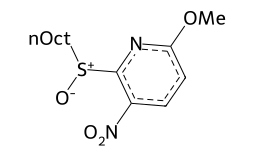 CCCCCCCC[S+]([O-])c1nc(OC)ccc1[N+](=O)[O-]